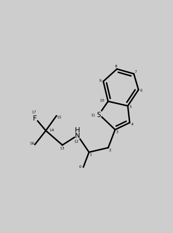 CC(Cc1cc2ccccc2s1)NCC(C)(C)F